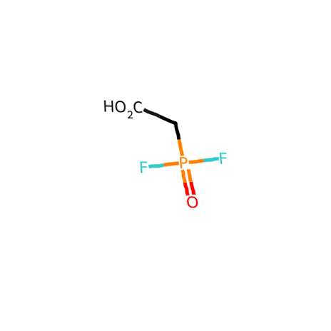 O=C(O)CP(=O)(F)F